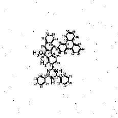 CC1(C)c2cc(C3N=C(c4ccccc4)NC(c4ccccc4)N3)ccc2-c2c1cc1ccccc1c2-c1ccc2c3ccccc3c3ccccc3c2c1